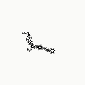 COC(=O)CNC(=S)N1CCN(c2cc(N)nc(NCc3ccc(CNCCCNC4CCCCC4)cc3)n2)CC1